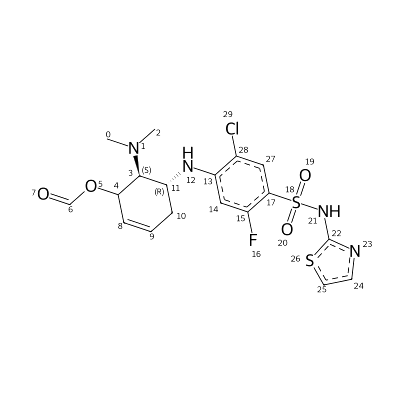 CN(C)[C@@H]1C(OC=O)C=CC[C@H]1Nc1cc(F)c(S(=O)(=O)Nc2nccs2)cc1Cl